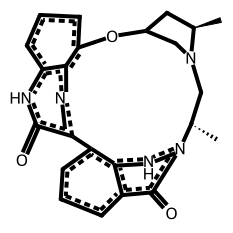 C[C@@H]1CC2CN1C[C@H](C)n1[nH]c3c(cccc3c1=O)-c1nc3c(cccc3[nH]c1=O)O2